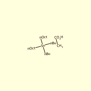 CC(=O)O.CCCCCCC[CH2][Sn]([CH2]CCC)([CH2]CCC)[CH2]CCCCCCC